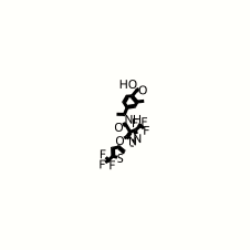 Cc1cc(C(C)NC(=O)c2c(C(F)(F)F)nn(C)c2Oc2csc(C(F)(F)F)c2)ccc1C(=O)O